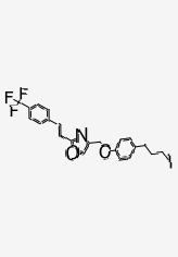 FC(F)(F)c1ccc(/C=C/c2nc(COc3ccc(CCCI)cc3)co2)cc1